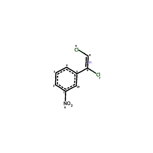 O=[N+]([O-])c1cccc(/C(Cl)=C\Cl)c1